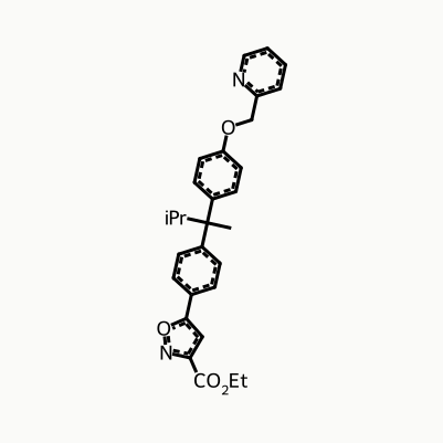 CCOC(=O)c1cc(-c2ccc(C(C)(c3ccc(OCc4ccccn4)cc3)C(C)C)cc2)on1